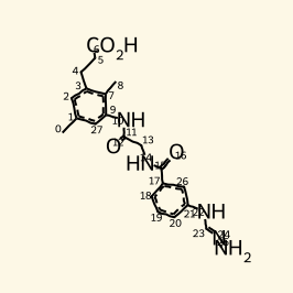 Cc1cc(CCC(=O)O)c(C)c(NC(=O)CNC(=O)c2cccc(NC=NN)c2)c1